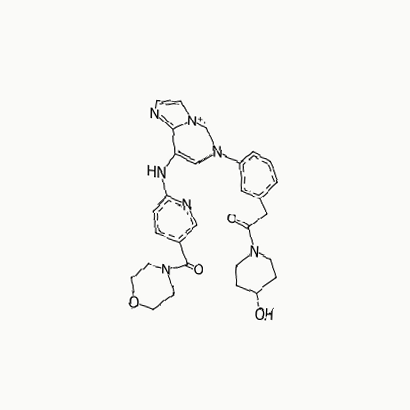 O=C(Cc1cccc(N2C=C(Nc3ccc(C(=O)N4CCOCC4)cn3)C3=NC=C[N+]3C2)c1)N1CCC(O)CC1